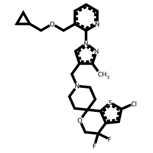 Cc1nn(-c2ncccc2COCC2CC2)cc1CN1CCC2(CC1)OCC(F)(F)c1cc(Cl)sc12